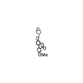 COc1ccc2c(c1)c(=O)oc1cc(OCC3CCOCC3)ccc12